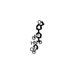 O=C(N[C@@H]1C=CS(=O)(=O)C1)c1ccc(-c2ccc3occc3c2)c[n+]1[O-]